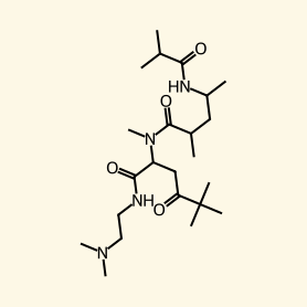 CC(CC(C)C(=O)N(C)C(CC(=O)C(C)(C)C)C(=O)NCCN(C)C)NC(=O)C(C)C